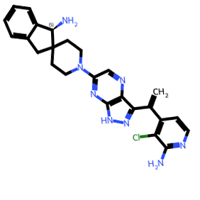 C=C(c1ccnc(N)c1Cl)c1n[nH]c2nc(N3CCC4(CC3)Cc3ccccc3[C@H]4N)cnc12